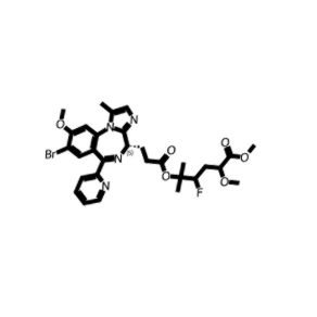 COC(=O)C(CC(F)C(C)(C)OC(=O)CC[C@@H]1N=C(c2ccccn2)c2cc(Br)c(OC)cc2-n2c(C)cnc21)OC